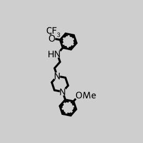 COc1ccccc1N1CCN(CCNc2ccccc2OC(F)(F)F)CC1